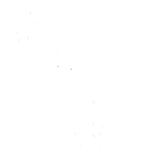 CC(C)N(C(C)C)P(CCC#N)OCCCN(C(=O)Oc1ccc2c(c1)CC[C@@H]1[C@@H]2CC[C@]2(C)[C@@H](OCCCOC(C(F)(F)F)(C(F)(F)F)C(F)(F)F)CC[C@@H]12)C1CCSSC1